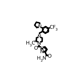 C[C@@H]1CN(Cc2ccc(C(F)(F)F)cc2N2CCCC2)CCN1C(=O)n1ccc(C(N)=O)n1